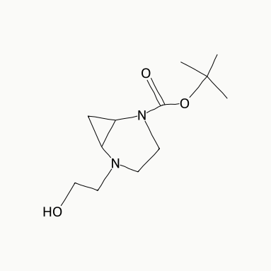 CC(C)(C)OC(=O)N1CCN(CCO)C2CC21